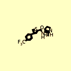 C[C@H]1[C@H](NC(=O)c2cc(-c3ccc(C(F)(F)F)cc3)cs2)C2CCN1CC2